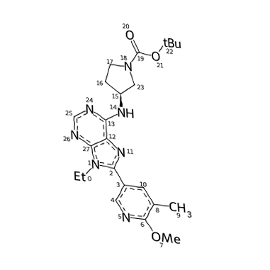 CCn1c(-c2cnc(OC)c(C)c2)nc2c(N[C@H]3CCN(C(=O)OC(C)(C)C)C3)ncnc21